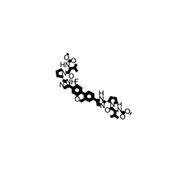 COC(=O)N[C@H](C(=O)N1CCC[C@H]1c1ncc(-c2ccc3c(c2)COc2cc(-c4cnc([C@@H]5CCCN5C(=O)[C@@H](NC(=O)OC)C(C)C)[nH]4)c(F)cc2-3)[nH]1)C(C)C